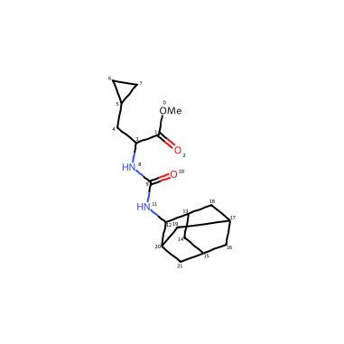 COC(=O)C(CC1CC1)NC(=O)NC1C2CC3CC(C2)CC1C3